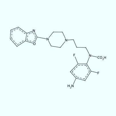 Nc1cc(F)c(N(CCCN2CCN(c3nc4ccccc4o3)CC2)C(=O)O)c(F)c1